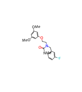 CNC(=O)N(CCOc1cc(OC)cc(OC)c1)Cc1cccc(F)c1